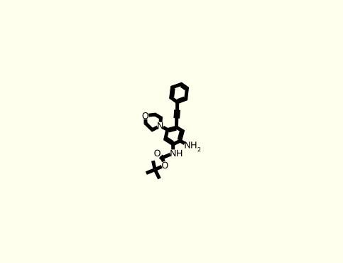 CC(C)(C)OC(=O)Nc1cc(N2CCOCC2)c(C#Cc2ccccc2)cc1N